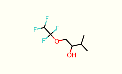 CC(C)C(O)COC(F)(F)C(F)F